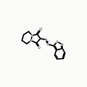 O=C1C(/N=N/c2snc3ccccc23)C(=O)N2CCCCN12